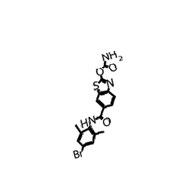 Cc1cc(Br)cc(C)c1NC(=O)c1ccc2nc(OC(N)=O)sc2c1